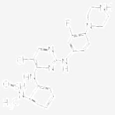 CN([SH]=O)c1ccccc1Nc1nc(Nc2ccc(N3CCNCC3)c(F)c2)ncc1Cl